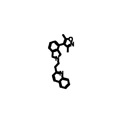 Cc1noc(C)c1-c1cccc2c1CN(CCc1ccc3ccccc3n1)C2